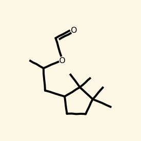 CC(CC1CCC(C)(C)C1(C)C)OC=O